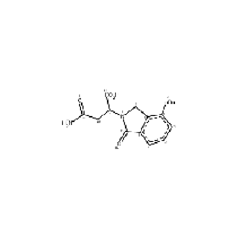 CCCCc1cccc2c1CN(C(CC(N)=O)C(=O)O)C2=O